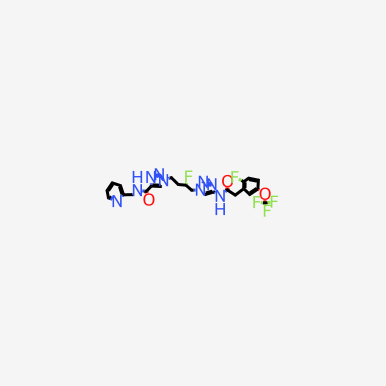 O=C(Cc1cc(OC(F)(F)F)ccc1F)Nc1cn(CC(F)CCn2cc(C(=O)NCc3ccccn3)nn2)nn1